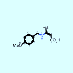 CC/C(=C/C(=O)O)NCc1ccc(OC)cc1